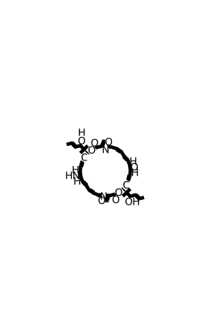 C/C=C/[C@H](O)C(C)(C)[C@@H]1C/C=C\[C@H]2O[C@H]2/C=C/C=C\c2nc(co2)C(=O)O[C@H](C(C)(C)[C@@H](O)/C=C/C)C/C=C\[C@H]2N[C@H]2/C=C/C=C\c2nc(co2)C(=O)O1